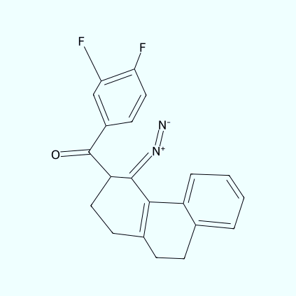 [N-]=[N+]=C1C2=C(CCc3ccccc32)CCC1C(=O)c1ccc(F)c(F)c1